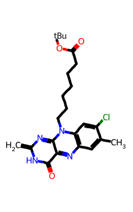 C=c1nc2c(c(=O)[nH]1)=Nc1cc(C)c(Cl)cc1N2CCCCCCC(=O)OC(C)(C)C